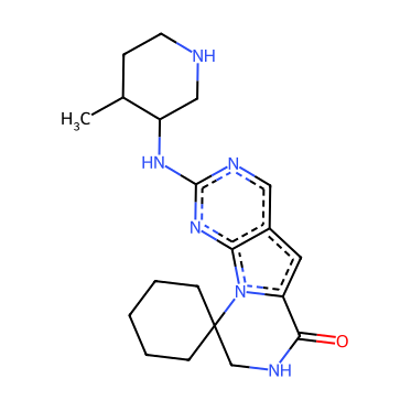 CC1CCNCC1Nc1ncc2cc3n(c2n1)C1(CCCCC1)CNC3=O